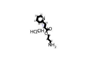 Cl.Cl.NCCCOC(=O)/C=C/c1ccccn1